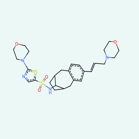 O=S(=O)(NC1C2CCC1Cc1cc(/C=C/CN3CCOCC3)ccc1C2)c1cnc(N2CCOCC2)s1